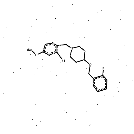 CC(C)(C)Oc1cnc(CN2CCC(OCc3ccccc3F)CC2)c(Cl)n1